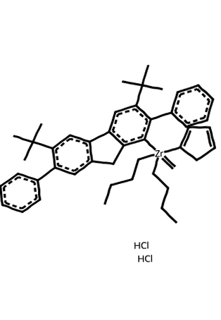 Cl.Cl.[CH2]=[Zr]([CH2]CCC)([CH2]CCC)([C]1=CC=CC1)[c]1c2c(cc(C(C)(C)C)c1-c1ccccc1)-c1cc(C(C)(C)C)c(-c3ccccc3)cc1C2